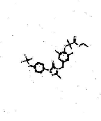 CCOC(=O)C(C)(C)Oc1c(C)cc(Cn2c(C)nn(-c3ccc(OC(F)(F)F)cc3)c2=O)cc1C